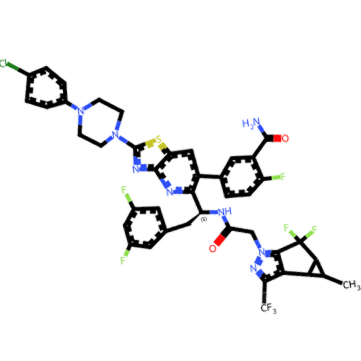 CC1C2c3c(C(F)(F)F)nn(CC(=O)N[C@@H](Cc4cc(F)cc(F)c4)c4nc5nc(N6CCN(c7ccc(Cl)cc7)CC6)sc5cc4-c4ccc(F)c(C(N)=O)c4)c3C(F)(F)C12